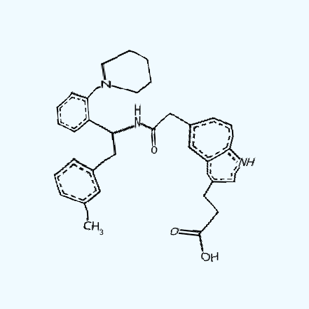 Cc1cccc(CC(NC(=O)Cc2ccc3[nH]cc(CCC(=O)O)c3c2)c2ccccc2N2CCCCC2)c1